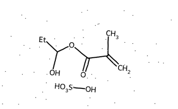 C=C(C)C(=O)OC(O)CC.O=S(=O)(O)O